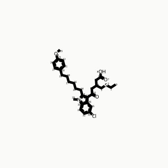 CCSCC(CC(=O)O)CC(=O)c1c(CCCCCCc2ccc(OC)cc2)n(C)c2ccc(Cl)cc12